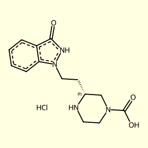 Cl.O=C(O)N1CCN[C@H](CCn2[nH]c(=O)c3ccccc32)C1